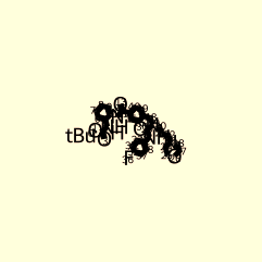 CC(C)(C)OC(=O)Nc1ccccc1NC(=O)c1ccc(CN(CCCN2CCOCC2)C(=O)Nc2ccc(F)cc2)cc1